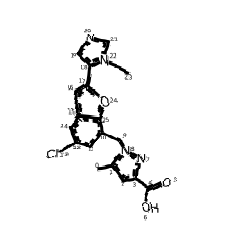 Cc1cc(C(=O)O)nn1Cc1cc(Cl)cc2cc(-c3cncn3C)oc12